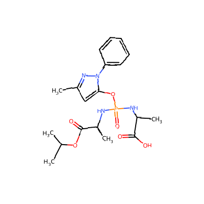 Cc1cc(OP(=O)(NC(C)C(=O)O)NC(C)C(=O)OC(C)C)n(-c2ccccc2)n1